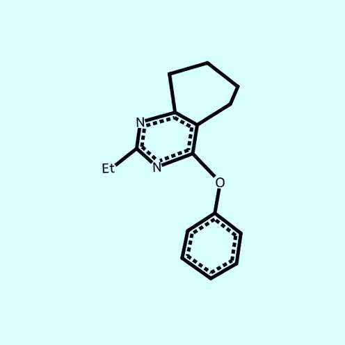 CCc1nc2c(c(Oc3ccccc3)n1)CCCC2